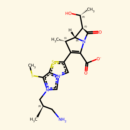 CSc1c2sc(C3=C(C(=O)[O-])N4C(=O)[C@H]([C@@H](C)O)[C@H]4[C@H]3C)c[n+]2cn1C[C@H](C)CN